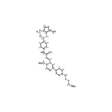 CCCCOCCOc1ccc(C2=CC(/C=C/C(=O)Nc3ccc([S+]([O-])Cc4c(C)ncn4CCC)cc3)C(OC)C=C2)cc1